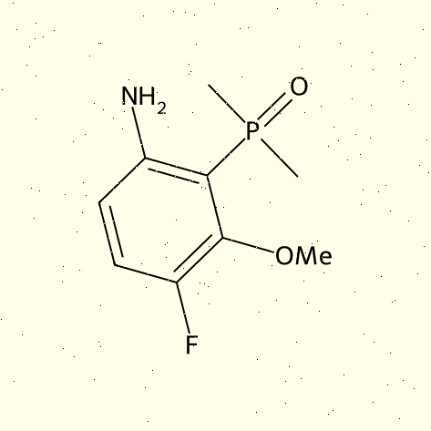 COc1c(F)ccc(N)c1P(C)(C)=O